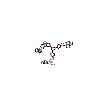 CCCCC(CC)COc1ccc(-c2cc(-c3ccc(OCC(CC)CCCC)cc3)cc(-c3ccc4oc5ccc(-n6c(C)c(C)c7ccccc76)cc5c4c3)c2)cc1